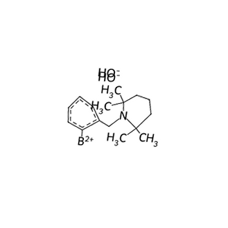 [B+2]c1ccccc1CN1C(C)(C)CCCC1(C)C.[OH-].[OH-]